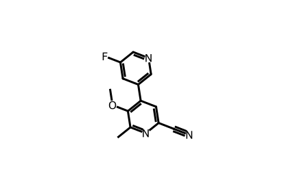 COc1c(-c2cncc(F)c2)cc(C#N)nc1C